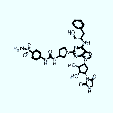 NS(=O)(=O)c1ccc(NC(=O)NC2CCN(c3nc(N[C@H](CO)Cc4ccccc4)c4ncn([C@@H]5C[C@H](N6C(=O)CNC6=O)[C@@H](O)[C@H]5O)c4n3)C2)cc1